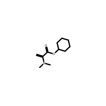 C=C(C(=O)OC1CCCCC1)N(C)C